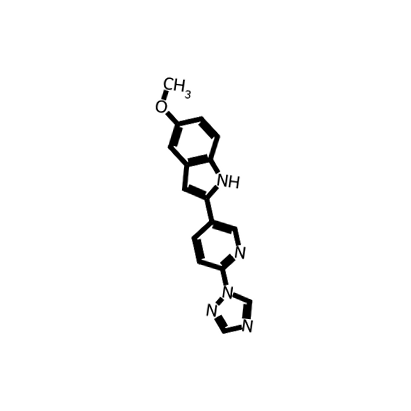 COc1ccc2[nH]c(-c3ccc(-n4cncn4)nc3)cc2c1